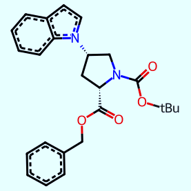 CC(C)(C)OC(=O)N1C[C@@H](n2ccc3ccccc32)C[C@H]1C(=O)OCc1ccccc1